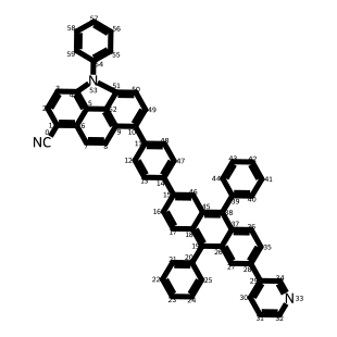 N#Cc1ccc2c3c1ccc1c(-c4ccc(-c5ccc6c(-c7ccccc7)c7cc(-c8cccnc8)ccc7c(-c7ccccc7)c6c5)cc4)ccc(c13)n2-c1ccccc1